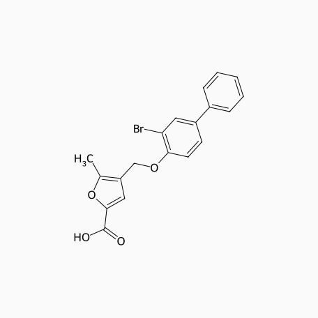 Cc1oc(C(=O)O)cc1COc1ccc(-c2ccccc2)cc1Br